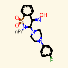 CCCN1C(N2CCN(c3ccc(F)cc3)CC2)C(=NO)c2ccccc2S1(=O)=O